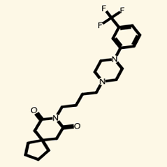 O=C1CC2(CCCC2)CC(=O)N1CCCCN1CCN(c2cccc(C(F)(F)F)c2)CC1